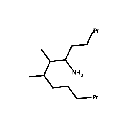 CC(C)CCCC(C)C(C)C(N)CCC(C)C